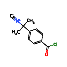 [C-]#[N+]C(C)(C)c1ccc(C(=O)Cl)cc1